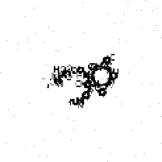 COC[C@@H]1NC(=O)[C@H](CCCNCC2CCC(OC[C@H]3OC[C@H](Nc4cncc(C(F)(F)F)n4)[C@@H](O)[C@H]3O)C2)N(Cc2ccc(Cl)cc2Oc2ccc(-c3cnc(CN(C)C)n3C)cc2)C(=O)C[C@@H](Cc2ccccc2)C(=O)N(C)[C@H]2CCCC[C@@H]2NC(=O)C[C@H](Cc2ccc(Cl)cc2)N(C)C1=O